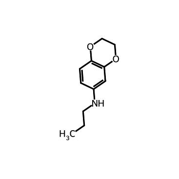 CCCNc1ccc2c(c1)OCCO2